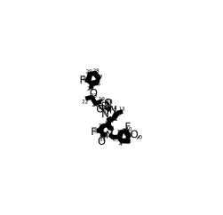 COc1ccc(Cn2cc(-c3cc(C)nc(S(=O)(=O)CCC(C)OCc4ccccc4F)n3)cc(F)c2=O)cc1F